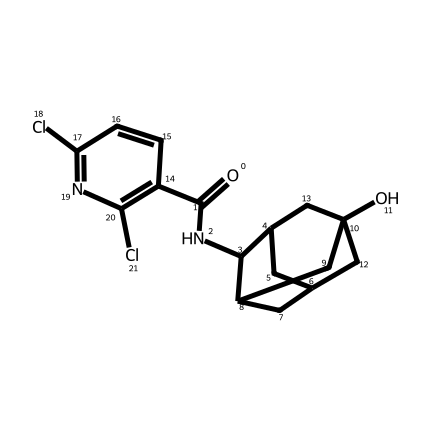 O=C(NC1C2CC3CC1CC(O)(C3)C2)c1ccc(Cl)nc1Cl